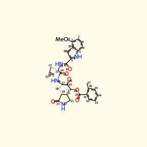 COc1cccc2[nH]c(C(=O)N[C@@H](CC(C)C)C(=O)N[C@@H](C[C@@H]3CCNC3=O)C(=O)COC(=O)c3ccccc3C)cc12